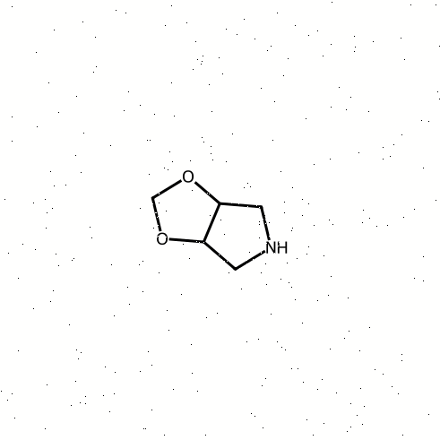 C1OC2CNCC2O1